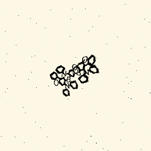 c1ccc(N2c3ccccc3B3c4cc5c(cc4N(c4ccccc4)c4c3c2cc2oc3ccccc3c42)Oc2cc3oc4ccccc4c3c3c2B5c2ccccc2N3c2ccccc2)cc1